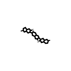 Cc1ccc2cc3sc4cc5cc6c(cc5cc4c3cc2c1)sc1cc2ccc(C)cc2cc16